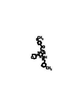 COc1ccc(C(=O)Cn2cnc3c(NN=Cc4cccc(C)c4)nc(N4CCOCC4)nc32)cc1